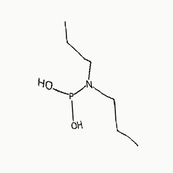 CCCN(CCC)P(O)O